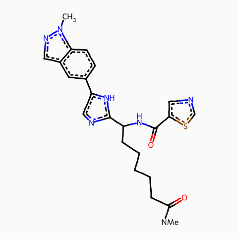 CNC(=O)CCCCCC(NC(=O)c1cncs1)c1ncc(-c2ccc3c(cnn3C)c2)[nH]1